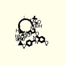 COc1ccc(-c2nc(O[C@@H]3C[C@H]4C(=O)N[C@]5(C(=O)NS(=O)(=O)C6CC6)C[C@H]5C=CCC[C@H](C)C[C@@H](C)[C@H](N(C(=O)O)C(C)(C)C)C(=O)N4C3)c3ccc(OC)cc3n2)cc1